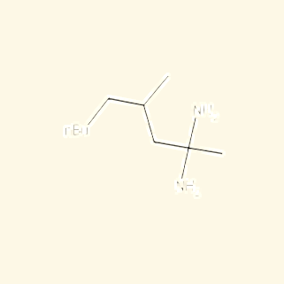 CCCCCC(C)CC(C)(N)N